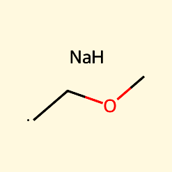 [CH2]COC.[NaH]